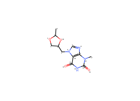 CC1OCC(Cn2cnc3c2c(=O)[nH]c(=O)n3C)O1